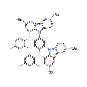 Cc1cc(C)c(B2c3cc4c(cc3-n3c5ccc(C(C)(C)C)cc5c5cc(C(C)(C)C)cc2c53)-n2c3ccc(C(C)(C)C)cc3c3cc(C(C)(C)C)cc(c32)B4c2c(C)cc(C)cc2C)c(C)c1